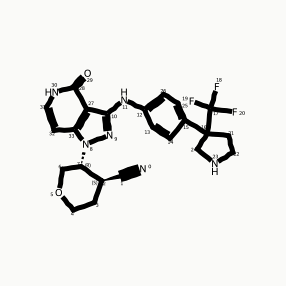 N#C[C@H]1CCOC[C@@H]1n1nc(Nc2ccc(C3(C(F)(F)F)CCNC3)cc2)c2c(=O)[nH]ccc21